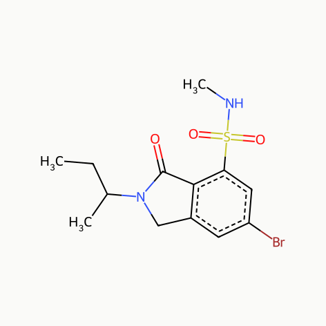 CCC(C)N1Cc2cc(Br)cc(S(=O)(=O)NC)c2C1=O